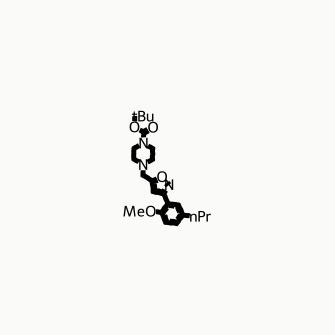 CCCc1ccc(OC)c(-c2cc(CN3CCN(C(=O)OC(C)(C)C)CC3)on2)c1